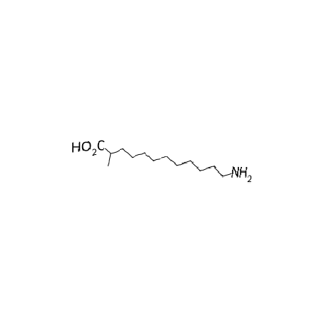 CC(CCCCCCCCCCN)C(=O)O